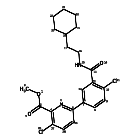 COC(=O)c1nc(-c2ccc(Cl)c(C(=O)NCCC3CCCCC3)c2)ccc1Cl